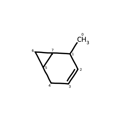 CC1C=CCC2C[C]12